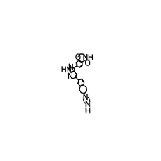 O=C1NCCOc2cc(-c3n[nH]c4ncc(-c5ccc6c(c5)CCC(N5CCNCC5)CC6)cc34)ccc21